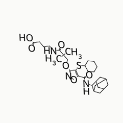 CC(C)(COc1noc(C(=O)NC2C3CC4CC(C3)CC2C4)c1SC1CCCCC1)C(=O)NCCCC(=O)O